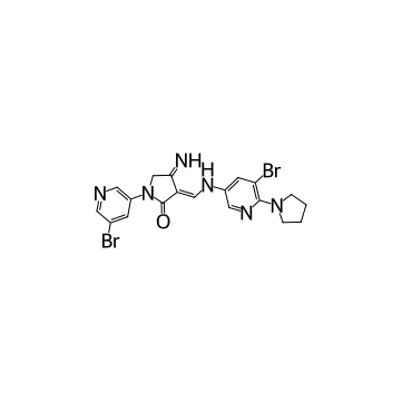 N=C1CN(c2cncc(Br)c2)C(=O)/C1=C/Nc1cnc(N2CCCC2)c(Br)c1